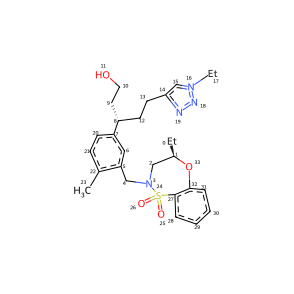 CC[C@@H]1CN(Cc2cc([C@H](CCO)CCc3cn(CC)nn3)ccc2C)S(=O)(=O)c2ccccc2O1